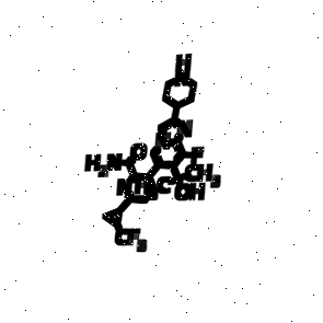 CC(C)(O)c1c(-c2ccc(C3CC3C(F)(F)F)nc2C(N)=O)cn2cc(C3CCNCC3)nc2c1F